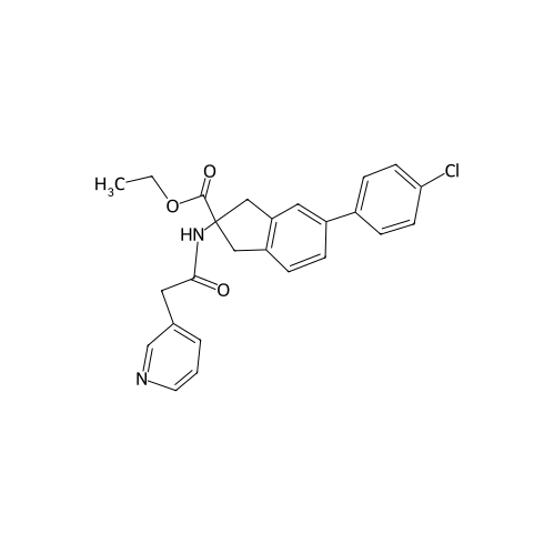 CCOC(=O)C1(NC(=O)Cc2cccnc2)Cc2ccc(-c3ccc(Cl)cc3)cc2C1